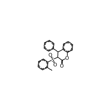 Cc1ccccc1S(=O)(=O)C1C(=O)Oc2ccccc2C1c1ccccc1